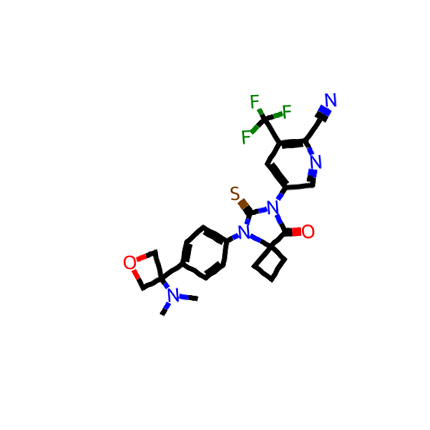 CN(C)C1(c2ccc(N3C(=S)N(c4cnc(C#N)c(C(F)(F)F)c4)C(=O)C34CCC4)cc2)COC1